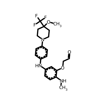 CNc1ccc(Nc2ccc(N3CCC(OC)(C(F)(F)F)CC3)cc2)cc1OCC=O